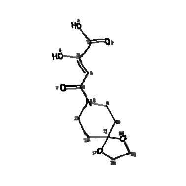 O=C(O)C(O)=CC(=O)N1CCC2(CC1)OCCO2